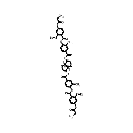 C=CC(=O)Oc1ccc(C(=O)Oc2ccc(C(=O)O[C@H]3CO[C@H]4[C@@H]3OC[C@H]4OC(=O)c3ccc(OC(=O)c4ccc(OC(=O)C=C)cc4OCC)c(C)c3)cc2C)c(OCC)c1